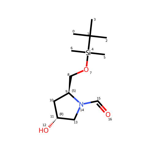 CC(C)(C)[Si](C)(C)OC[C@@H]1C[C@@H](O)CN1C=O